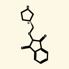 O=C1c2ccccc2C(=O)N1OC[C@@H]1CCNC1